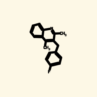 Cc1nc2ccccc2c(C)c1Cc1ccc(F)cc1